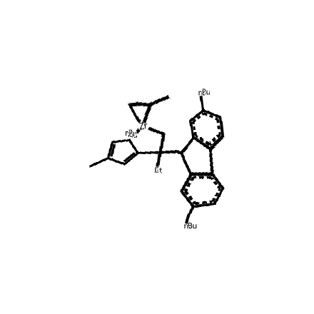 CCCCc1ccc2c(c1)C(C(CC)([CH2][Zr]1([CH2]CCC)[CH2][CH]1C)C1=CC(C)=CC1)c1cc(CCCC)ccc1-2